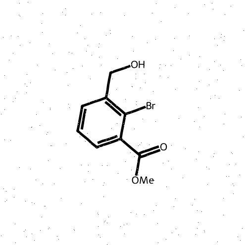 COC(=O)c1cccc(CO)c1Br